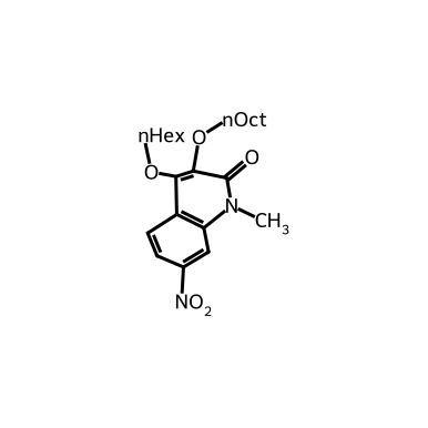 CCCCCCCCOc1c(OCCCCCC)c2ccc([N+](=O)[O-])cc2n(C)c1=O